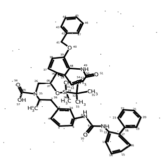 CC(Cc1cccc(NC(=O)Nc2ccccc2-c2ccccc2)c1)N(C[C@H](O[Si](C)(C)C(C)(C)C)c1ccc(OCc2ccccc2)c2[nH]c(=O)ccc12)C(=O)O